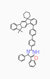 CC1(C)c2ccccc2C2C=C3C(=CC21)c1c(-c2ccc(-c4ccc(C5N=C(c6ccccc6)c6c(oc7ccccc67)N5)cc4)cc2)cccc1C31CCCCC1